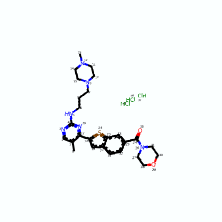 Cc1cnc(NCCCN2CCN(C)CC2)nc1-c1cc2ccc(C(=O)N3CCOCC3)cc2s1.Cl.Cl.Cl